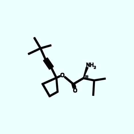 CC(C)[C@H](N)C(=O)OC1(C#CC(C)(C)C)CCC1